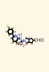 O=CC1CC2CN(C(=O)Nc3nc(-c4ccc(F)cc4)ccc3[N+](=O)[O-])CC2C1